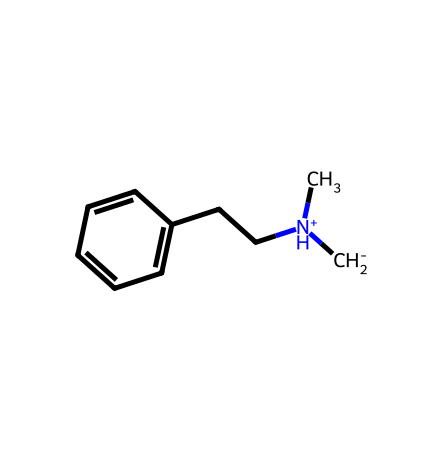 [CH2-][NH+](C)CCc1ccccc1